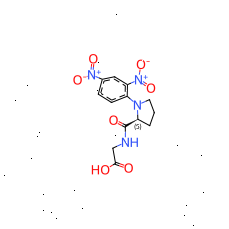 O=C(O)CNC(=O)[C@@H]1CCCN1c1ccc([N+](=O)[O-])cc1[N+](=O)[O-]